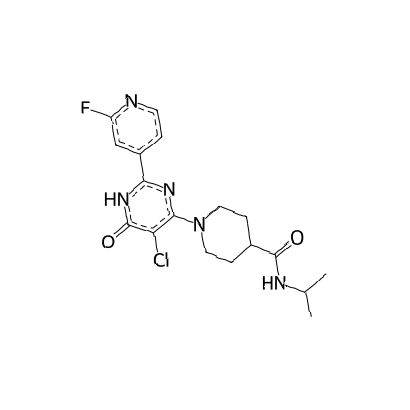 CC(C)NC(=O)C1CCN(c2nc(-c3ccnc(F)c3)[nH]c(=O)c2Cl)CC1